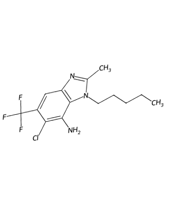 CCCCCn1c(C)nc2cc(C(F)(F)F)c(Cl)c(N)c21